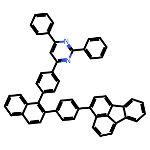 c1ccc(-c2cc(-c3ccc(-c4c(-c5ccc(-c6ccc7c8c(cccc68)-c6ccccc6-7)cc5)ccc5ccccc45)cc3)nc(-c3ccccc3)n2)cc1